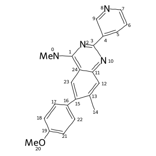 CNc1nc(-c2cccnc2)nc2cc(C)c(-c3ccc(OC)cc3)cc12